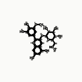 COc1cc(-c2[o+]c3cc(O)cc(O)c3cc2O[C@@H]2O[C@H](CO)[C@@H](O)[C@H](O)[C@H]2O)cc(O)c1O.[Cl-]